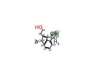 C[Si]1(C)C2=C(CCO)[CH]([Zr+2])c3cccc1c32.[Cl-].[Cl-]